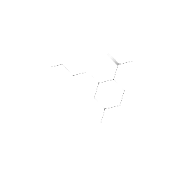 C=C(C)C1CCC(C)CC1OCC[O]